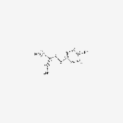 [N-]=[N+]=C(CCc1ccc(F)cc1)C(=O)O